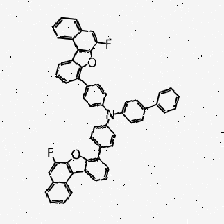 Fc1cc2ccccc2c2c1oc1c(-c3ccc(N(c4ccc(-c5ccccc5)cc4)c4ccc(-c5cccc6c5oc5c(F)cc7ccccc7c56)cc4)cc3)cccc12